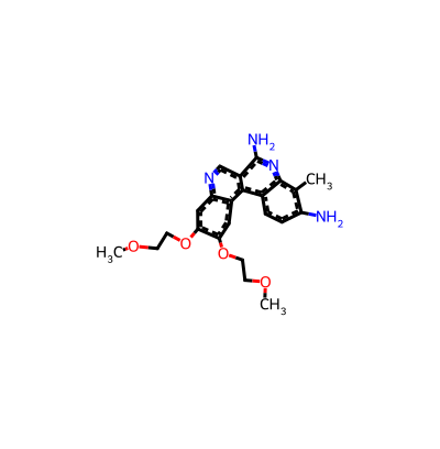 COCCOc1cc2ncc3c(N)nc4c(C)c(N)ccc4c3c2cc1OCCOC